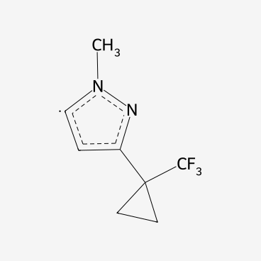 Cn1[c]cc(C2(C(F)(F)F)CC2)n1